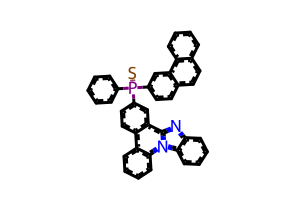 S=P(c1ccccc1)(c1ccc2ccc3ccccc3c2c1)c1ccc2c3ccccc3n3c4ccccc4nc3c2c1